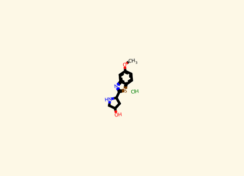 COc1ccc2sc(C3CC(O)CN3)nc2c1.Cl